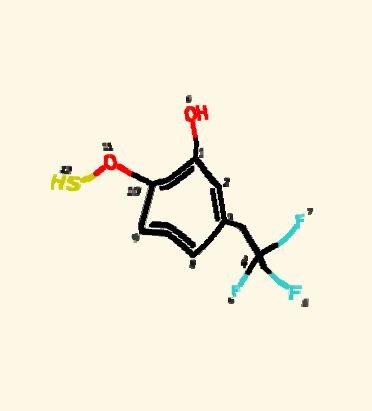 Oc1cc(C(F)(F)F)ccc1OS